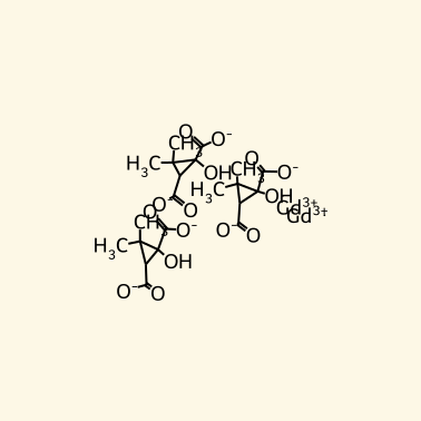 CC1(C)C(C(=O)[O-])C1(O)C(=O)[O-].CC1(C)C(C(=O)[O-])C1(O)C(=O)[O-].CC1(C)C(C(=O)[O-])C1(O)C(=O)[O-].[Gd+3].[Gd+3]